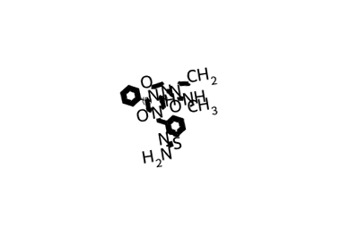 C=CCN(C(=O)NC)N1CC(=O)N2[C@@H](c3ccccc3)C(=O)N(Cc3cccc4sc(N)nc34)C[C@@H]21